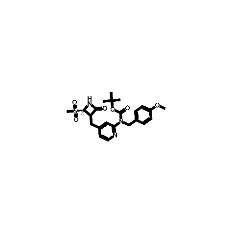 COc1ccc(CN(C(=O)OC(C)(C)C)c2cc(CC3C(=O)N[C@@H]3S(C)(=O)=O)ccn2)cc1